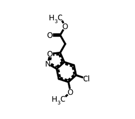 COC(=O)Cc1onc2cc(OC)c(Cl)cc12